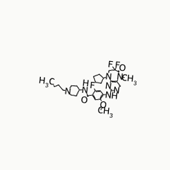 CCCCN1CCC(NC(=O)c2cc(OC)c(Nc3ncc4c(n3)N(C3CCCC3)CC(F)(F)C(=O)N4C)cc2F)CC1